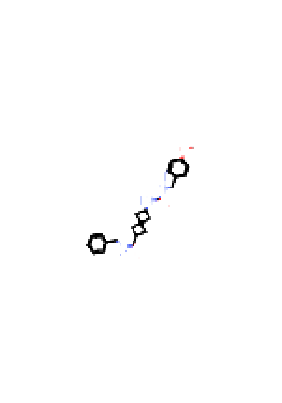 COc1ccc(CNC(=O)NC2CC3(C2)CC(C(=O)N(C)Cc2ccccc2)C3)cc1